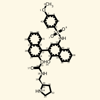 COc1ccc(S(=O)(=O)Nc2cc(-c3c(OC(=O)NC[C@H]4CCCN4)ccc4ccccc34)c(O)c3ccccc23)cc1